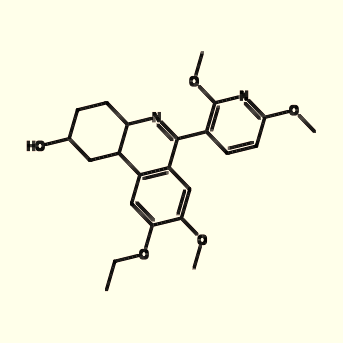 CCOc1cc2c(cc1OC)C(c1ccc(OC)nc1OC)=NC1CCC(O)CC21